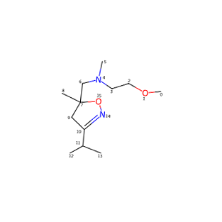 COCCN(C)CC1(C)CC(C(C)C)=NO1